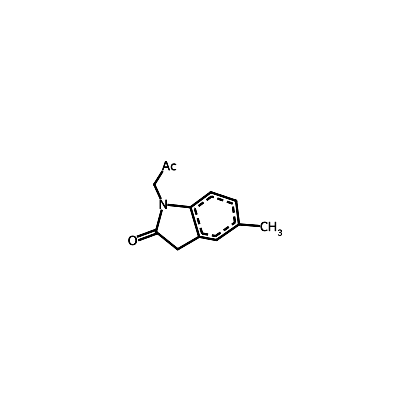 CC(=O)CN1C(=O)Cc2cc(C)ccc21